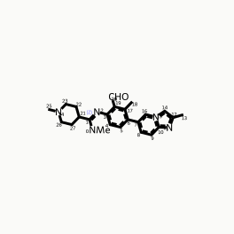 CN/C(=N\c1ccc(-c2ccc3nc(C)cn3c2)c(C)c1C=O)C1CCN(C)CC1